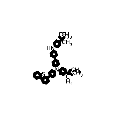 CCC(C)(CC)c1ccc(Nc2ccc(-c3ccc(N(c4ccc(-c5cccc6c5sc5ccccc56)cc4)c4ccc(C(C)(CC)CC)cc4)cc3)cc2)cc1